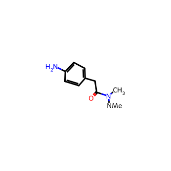 CNN(C)C(=O)Cc1ccc(N)cc1